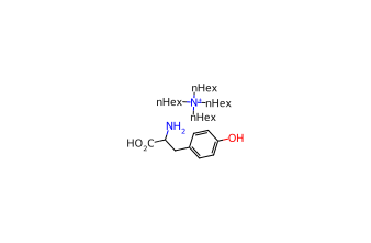 CCCCCC[N+](CCCCCC)(CCCCCC)CCCCCC.NC(Cc1ccc(O)cc1)C(=O)O